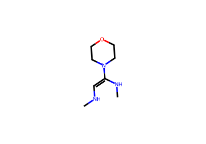 CN/C=C(\NC)N1CCOCC1